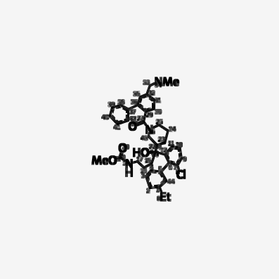 CCc1cccc(-c2c(Cl)cccc2[C@](O)(CCCNC(=O)OC)[C@@H]2CCCN(C(=O)c3ccc(CNC)cc3-c3ccccc3)C2)c1